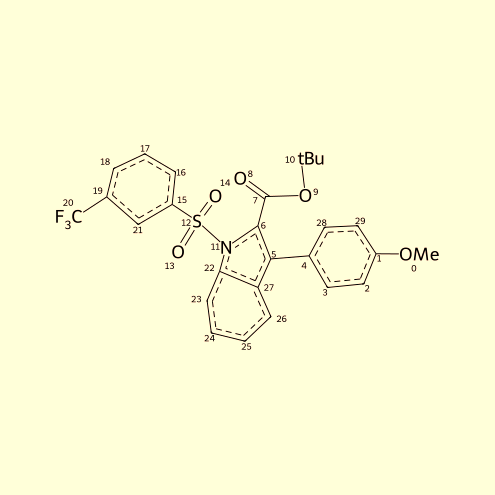 COc1ccc(-c2c(C(=O)OC(C)(C)C)n(S(=O)(=O)c3cccc(C(F)(F)F)c3)c3ccccc23)cc1